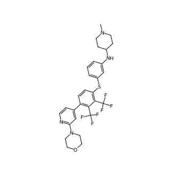 CN1CCC(Nc2cccc(Sc3ccc(-c4ccnc(N5CCOCC5)c4)c(C(F)(F)F)c3C(F)(F)F)c2)CC1